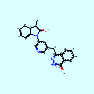 CC1C(=O)N(c2cncc(Cc3n[nH]c(=O)c4ccccc34)c2)C2=CC=CCC21